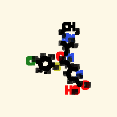 CCn1cc(-c2nc(-c3ccc(C(=O)O)nc3)c(Sc3ccc(Cl)cc3)o2)cn1